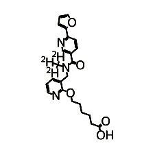 [2H]C([2H])([2H])N(Cc1cccnc1OCCCCCC(=O)O)C(=O)c1ccc(-c2ccco2)nc1